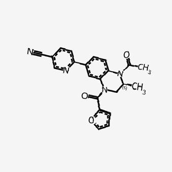 CC(=O)N1c2ccc(-c3ccc(C#N)cn3)cc2N(C(=O)c2ccco2)C[C@@H]1C